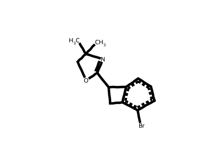 CC1(C)COC(C2Cc3c(Br)cccc32)=N1